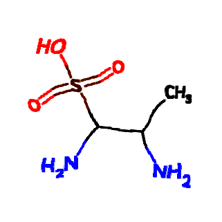 CC(N)C(N)S(=O)(=O)O